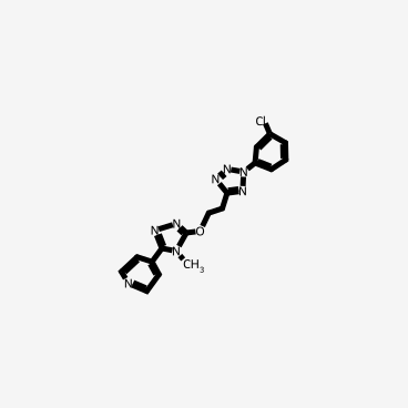 Cn1c(OCCc2nnn(-c3cccc(Cl)c3)n2)nnc1-c1ccncc1